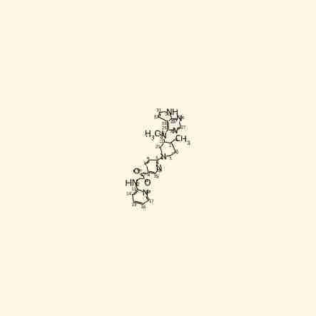 CC1CCN(c2ccc(S(=O)(=O)Nc3ccccn3)cn2)CC1N(C)c1ncnc2[nH]ccc12